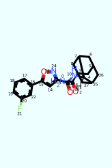 NC(=O)[C@]12CC3CC(C1)[C@@H](NC(=O)c1cc(-c4cccc(F)c4)on1)C(C3)C2